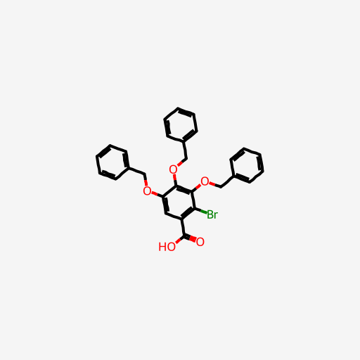 O=C(O)c1cc(OCc2ccccc2)c(OCc2ccccc2)c(OCc2ccccc2)c1Br